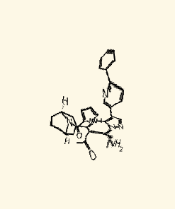 CC(=O)c1c([C@H]2C[C@H]3CC[C@@H](C2)N3C(=O)c2ccc[nH]2)nc2c(-c3ccc(-c4ccccc4)nc3)cnn2c1N